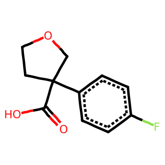 O=C(O)C1(c2ccc(F)cc2)CCOC1